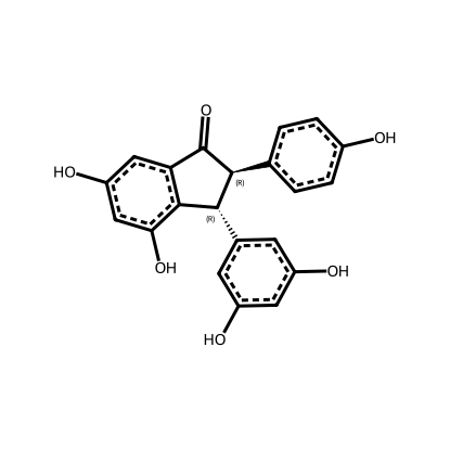 O=C1c2cc(O)cc(O)c2[C@@H](c2cc(O)cc(O)c2)[C@@H]1c1ccc(O)cc1